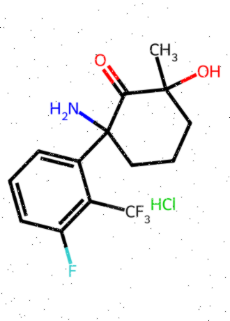 CC1(O)CCCC(N)(c2cccc(F)c2C(F)(F)F)C1=O.Cl